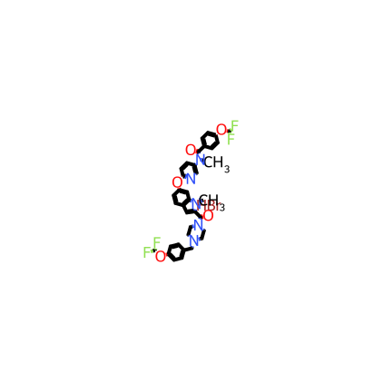 Br.CN(C(=O)c1ccc(OC(F)F)cc1)c1ccc(Oc2ccc3cc(C(=O)N4CCN(Cc5ccc(OC(F)F)cc5)CC4)n(C)c3c2)nc1